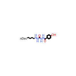 CCCCCCCCCCCCCCNNC(=O)NNC(=O)c1ccc(O)cc1